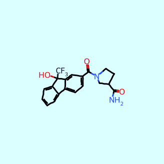 NC(=O)C1CCN(C(=O)c2ccc3c(c2)C(O)(C(F)(F)F)c2ccccc2-3)C1